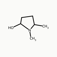 CC1CCC(O)N1C